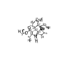 COC(=O)C1=C(CF)NC2=C(C(=O)CC2)C1c1cccc(F)c1C(F)CF